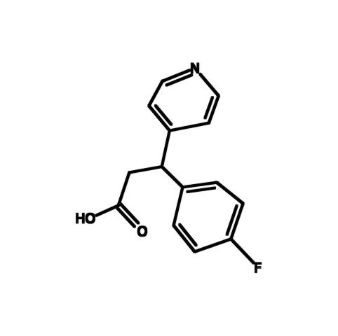 O=C(O)CC(c1ccncc1)c1ccc(F)cc1